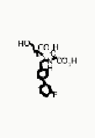 CC(CCO)(C[C@@H](Cc1ccc(-c2cccc(F)c2)cc1)NC(=O)C(=O)O)C(=O)O